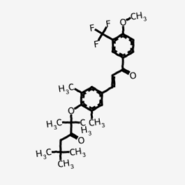 COc1ccc(C(=O)/C=C/c2cc(C)c(OC(C)(C)C(=O)CC(C)(C)C)c(C)c2)cc1C(F)(F)F